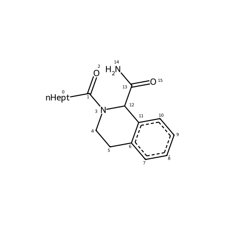 CCCCCCCC(=O)N1CCc2c[c]ccc2C1C(N)=O